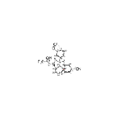 N#Cc1cccc(CC2(c3cccc(OC(F)(F)F)c3)CN(C[C@@H](O)C(F)(F)F)c3ccccc32)c1